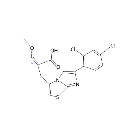 CO/C=C(/Cc1csc2nc(-c3ccc(Cl)cc3Cl)cn12)C(=O)O